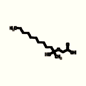 CCCCCCCCCCC(C)(O)OCC(=O)O